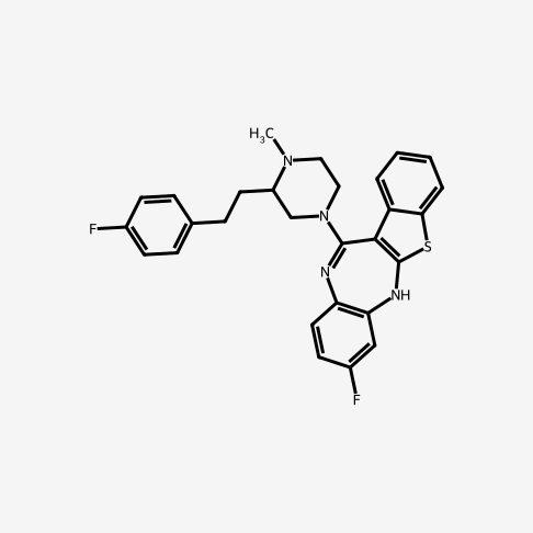 CN1CCN(C2=Nc3ccc(F)cc3Nc3sc4ccccc4c32)CC1CCc1ccc(F)cc1